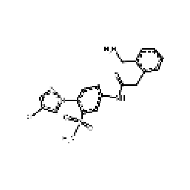 NCc1ccccc1CC(=O)Nc1ccc(-n2cc(Cl)cn2)c(S(N)(=O)=O)c1